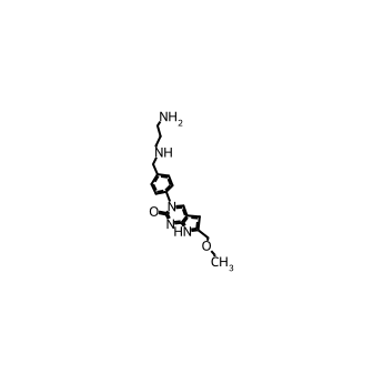 CCOCc1cc2cn(-c3ccc(CNCCCN)cc3)c(=O)nc2[nH]1